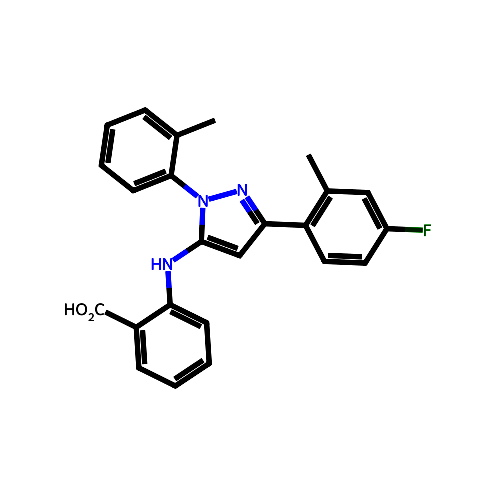 Cc1cc(F)ccc1-c1cc(Nc2ccccc2C(=O)O)n(-c2ccccc2C)n1